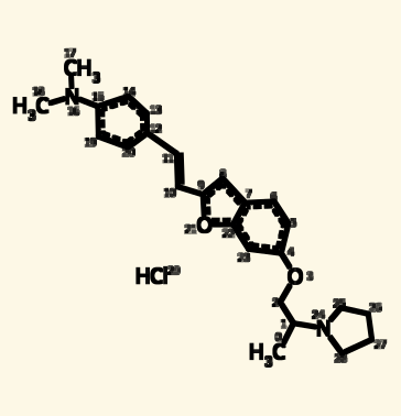 CC(COc1ccc2cc(C=Cc3ccc(N(C)C)cc3)oc2c1)N1CCCC1.Cl